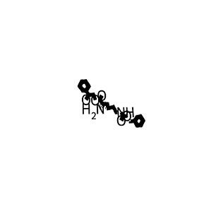 N[C@@H](CCCCNC(=O)OCc1ccccc1)C(=O)OCC(=O)c1ccccc1